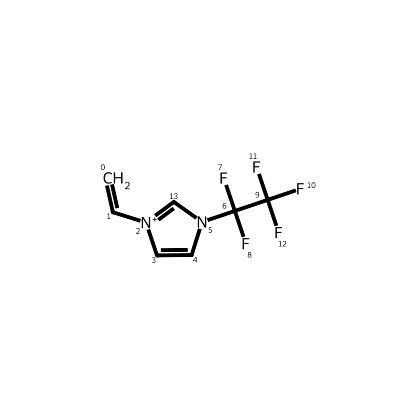 C=C[n+]1ccn(C(F)(F)C(F)(F)F)c1